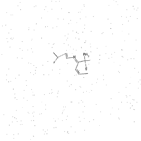 C\C=C/C(=N\C=C\C(C)F)C(C)(F)P